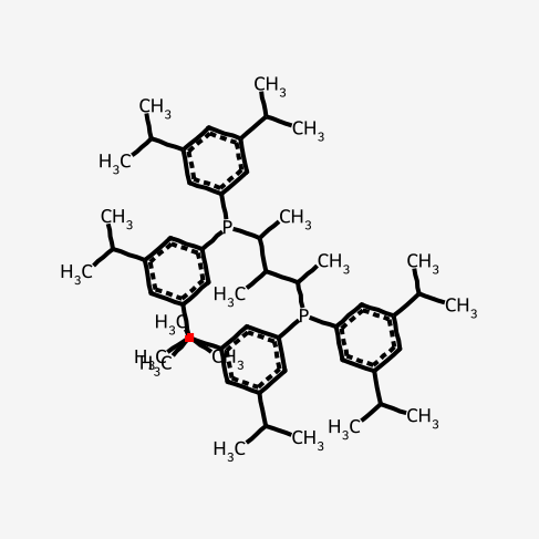 CC(C)c1cc(C(C)C)cc(P(c2cc(C(C)C)cc(C(C)C)c2)C(C)C(C)C(C)P(c2cc(C(C)C)cc(C(C)C)c2)c2cc(C(C)C)cc(C(C)C)c2)c1